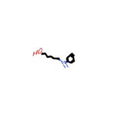 OCCCCCCNc1ccccc1